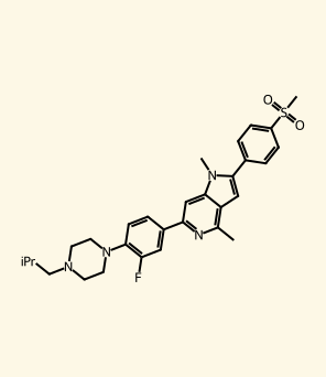 Cc1nc(-c2ccc(N3CCN(CC(C)C)CC3)c(F)c2)cc2c1cc(-c1ccc(S(C)(=O)=O)cc1)n2C